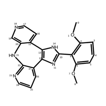 COc1cccc(OC)c1-c1nc2c([nH]1)-c1ccncc1Nc1ncccc1-2